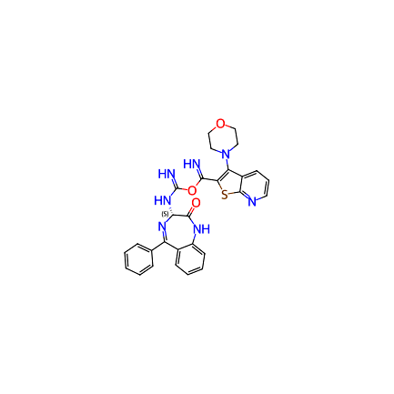 N=C(N[C@H]1N=C(c2ccccc2)c2ccccc2NC1=O)OC(=N)c1sc2ncccc2c1N1CCOCC1